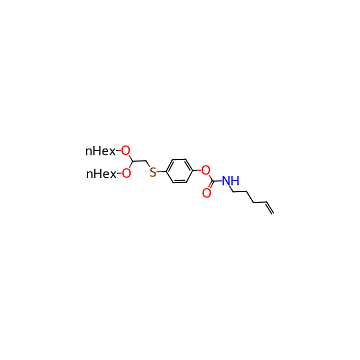 C=CCCCNC(=O)Oc1ccc(SCC(OCCCCCC)OCCCCCC)cc1